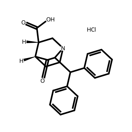 Cl.O=C(O)[C@@H]1CN2CC[C@H]1C(=O)C2C(c1ccccc1)c1ccccc1